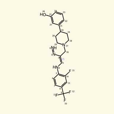 N=N/C(=C\Nc1ccc(C(F)(F)F)cc1F)CN1CCC(c2cccc(O)c2)CC1